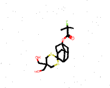 CC(C)(F)C(=O)OC12CC3CC(C1)C1(SCC(CO)(CO)CS1)C(C3)C2